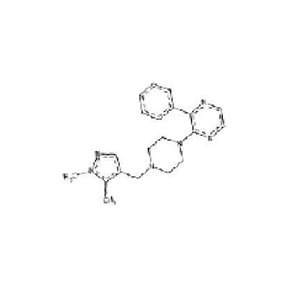 Cc1c(CN2CCN(c3nccnc3-c3ccccc3)CC2)cnn1C